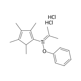 CC1=C(C)C(C)[C]([Ti]([O]c2ccccc2)=[C](C)C)=C1C.Cl.Cl